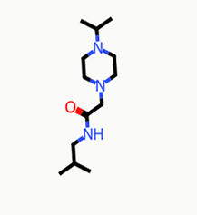 CC(C)CNC(=O)CN1CCN(C(C)C)CC1